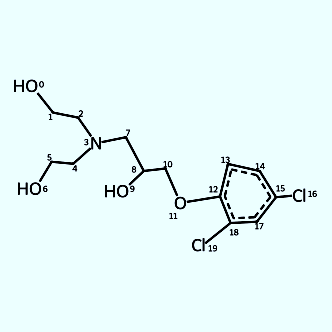 OCCN(CCO)CC(O)COc1ccc(Cl)cc1Cl